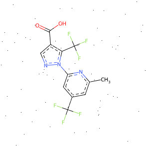 Cc1cc(C(F)(F)F)cc(-n2ncc(C(=O)O)c2C(F)(F)F)n1